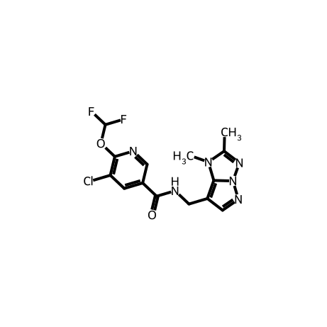 Cc1nn2ncc(CNC(=O)c3cnc(OC(F)F)c(Cl)c3)c2n1C